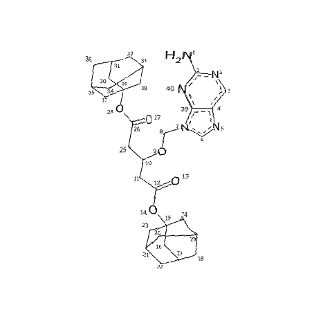 Nc1ncc2ncn(COC(CC(=O)OC34CC5CC(CC(C5)C3)C4)CC(=O)OC34CC5CC(CC(C5)C3)C4)c2n1